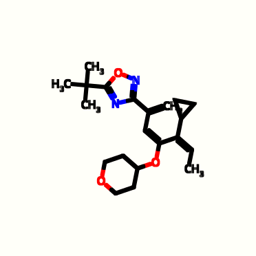 C=C(/C=C(OC1CCOCC1)\C(=C/C)C1CC1)c1noc(C(C)(C)C)n1